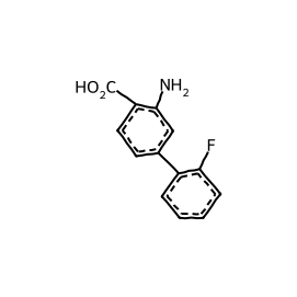 Nc1cc(-c2ccccc2F)ccc1C(=O)O